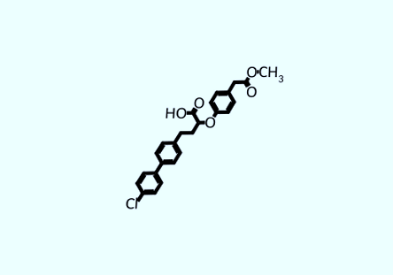 COC(=O)Cc1ccc(OC(CCc2ccc(-c3ccc(Cl)cc3)cc2)C(=O)O)cc1